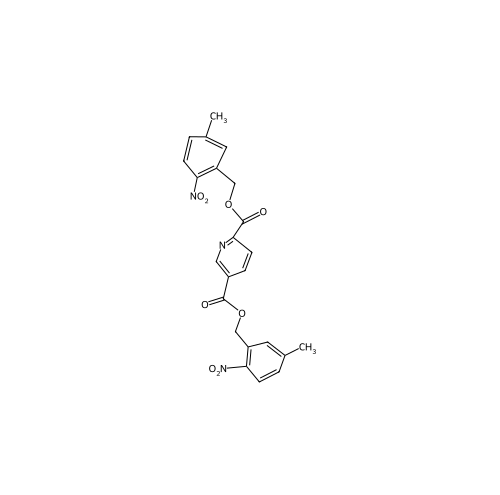 Cc1ccc([N+](=O)[O-])c(COC(=O)c2ccc(C(=O)OCc3cc(C)ccc3[N+](=O)[O-])nc2)c1